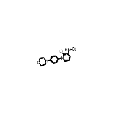 CCNc1cccn(-c2ccc(N3CCOCC3)cc2)c1=O